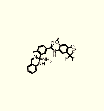 COc1cc(OC)c(C(F)(F)F)cc1NC(=O)c1ccc(C)c(C2(N)N=Cc3ccccc3N2)c1